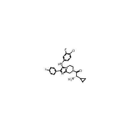 N[C@H](C(=O)N1CCn2c(nc(-c3ccc(F)cc3)c2Nc2ccc(Cl)c(F)c2)C1)C1CC1